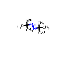 CCCCC(C)(C)/N=N/C(C)(C)CCCC